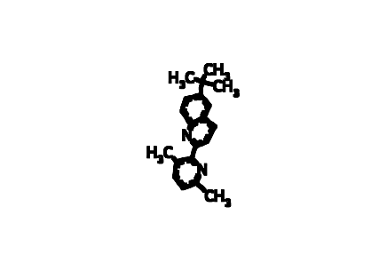 Cc1ccc(C)c(-c2ccc3cc(C(C)(C)C)ccc3n2)n1